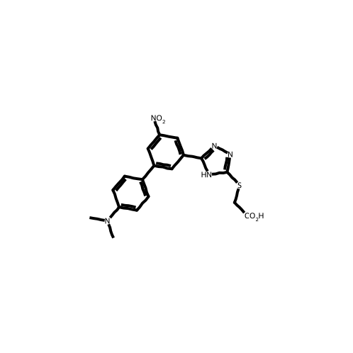 CN(C)c1ccc(-c2cc(-c3nnc(SCC(=O)O)[nH]3)cc([N+](=O)[O-])c2)cc1